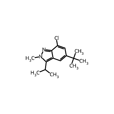 CC(C)c1c2cc(C(C)(C)C)cc(Cl)c2nn1C